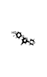 C[C@]1(O)CC[C@H](Oc2cc(I)cc(N3CCOCC3)n2)CC1